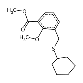 COC(=O)c1cccc(CSC2CCCCC2)c1OC